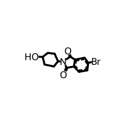 O=C1c2ccc(Br)cc2C(=O)N1C1CCC(O)CC1